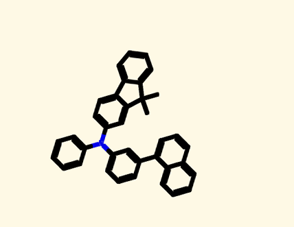 CC1(C)c2ccccc2-c2ccc(N(c3ccccc3)c3cccc(-c4cccc5ccccc45)c3)cc21